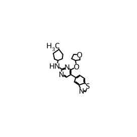 CC1CCC(Nc2ncc(-c3ccc4scnc4c3)c(OC3CCOC3)n2)CC1